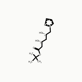 CC(C)(C)OC(=O)C[C@H](O)C[C@H](O)Cn1cc[c]n1